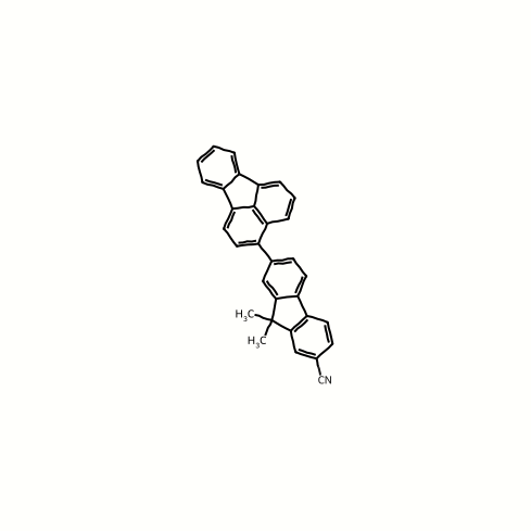 CC1(C)c2cc(C#N)ccc2-c2ccc(-c3ccc4c5c(cccc35)-c3ccccc3-4)cc21